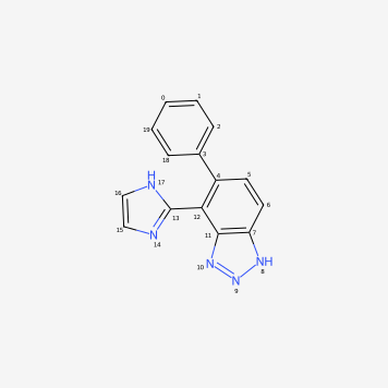 c1ccc(-c2ccc3[nH]nnc3c2-c2ncc[nH]2)cc1